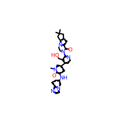 Cn1cc(-c2ccnc(N3CCn4c(cc5c4CC(C)(C)C5)C3=O)c2CO)cc(Nc2ccc3nccn3c2)c1=O